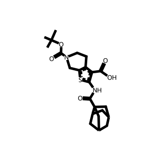 CC(C)(C)OC(=O)N1CCc2c(sc(NC(=O)C34CC5CC(CC3C5)C4)c2C(=O)O)C1